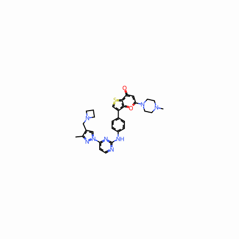 Cc1nn(-c2ccnc(Nc3ccc(-c4csc5c(=O)cc(N6CCN(C)CC6)oc45)cc3)n2)cc1CN1CCC1